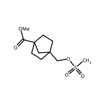 COC(=O)C12CCC(COS(C)(=O)=O)(CC1)C2